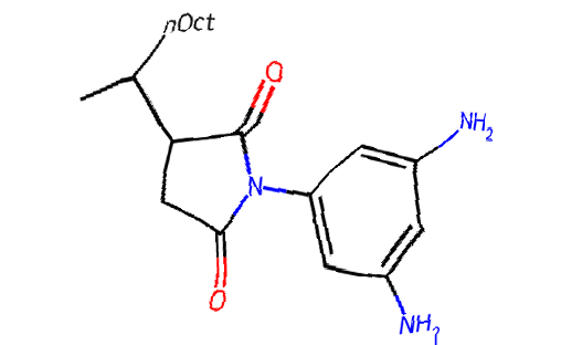 CCCCCCCCC(C)C1CC(=O)N(c2cc(N)cc(N)c2)C1=O